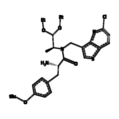 CCOC(OCC)[C@H](C)N(Cc1csc2ccc(Cl)nc12)C(=O)[C@@H](N)Cc1ccc(OC(C)(C)C)cc1